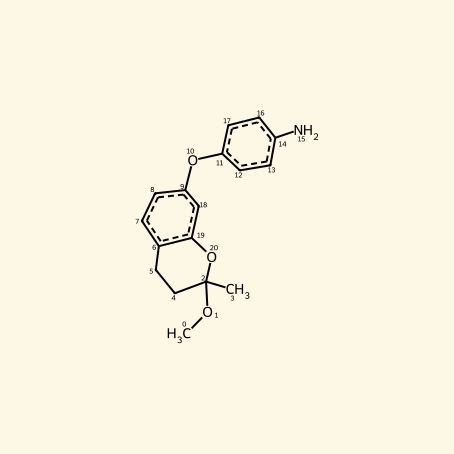 COC1(C)CCc2ccc(Oc3ccc(N)cc3)cc2O1